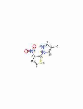 Cc1cnn(-c2sccc2[N+](=O)[O-])c1